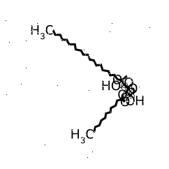 CCCCCCCCCCCCCCCCCCCCOC1CO[C@]1(CO)[C@H]1OC[C@H](O)[C@H]1OC(=O)CCCCCCCCCCC